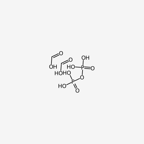 O=CO.O=CO.O=P(O)(O)OP(=O)(O)O